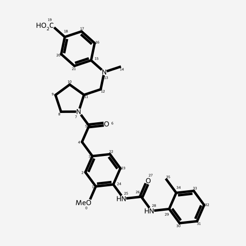 COc1cc(CC(=O)N2CCCC2CN(C)c2ccc(C(=O)O)cc2)ccc1NC(=O)Nc1ccccc1C